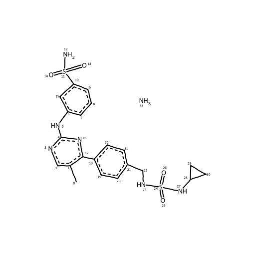 Cc1cnc(Nc2cccc(S(N)(=O)=O)c2)nc1-c1ccc(CNS(=O)(=O)NC2CC2)cc1.N